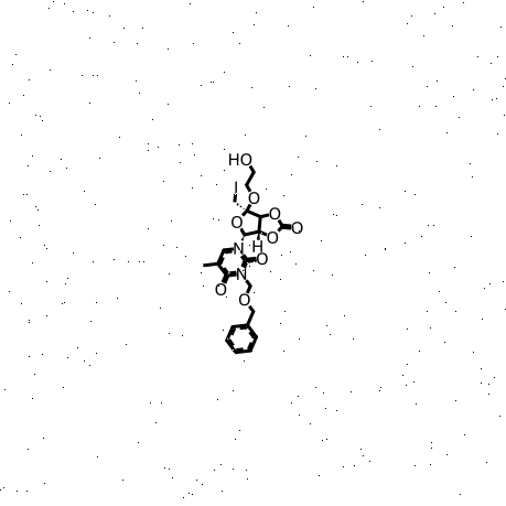 Cc1cn([C@@H]2O[C@@](CI)(OCCO)C3OC(=O)O[C@@H]32)c(=O)n(COCc2ccccc2)c1=O